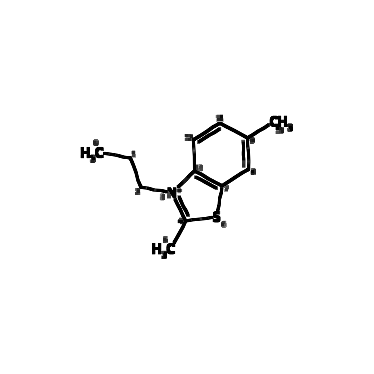 CCC[n+]1c(C)sc2cc(C)ccc21